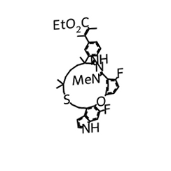 CCOC(=O)/C(C)=C(\C)c1cccc(C2(C)CCCC(C)(C)CSCCc3c(c(F)cc4[nH]ccc34)Oc3ccc(F)c(c3)/C(NC)=N/C2=N)c1